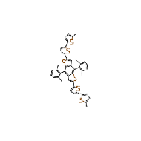 Cc1ccc(-c2ccc(-c3cc4c(-c5c(C)cccc5C)c5sc(-c6ccc(-c7ccc(C)s7)s6)cc5c(-c5c(C)cccc5C)c4s3)s2)s1